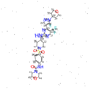 O=C(Nc1ccc(S(=O)(=O)N2CCC(Nc3ncc(C(F)(F)F)c(-c4cnn(C5CCOCC5)c4)n3)CC2)cc1)N1CCOCC1